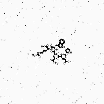 N=C(N)NCCC[C@H](NC(=O)[C@H](Cc1c[nH]c2ccccc12)NC(=O)[C@H](CCC(N)=O)NC(=O)[C@H](CCC(=O)O)NC(=O)[C@@H]1CCCN1)C(=O)O